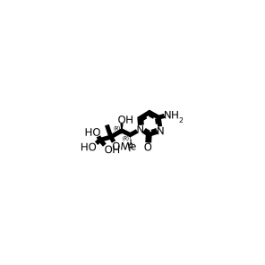 COC(C)([C@@H](O)[C@@H](F)n1ccc(N)nc1=O)C(O)(O)O